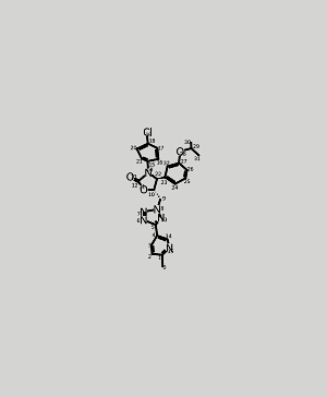 Cc1ccc(-c2nnn(C[C@@H]3OC(=O)N(c4ccc(Cl)cc4)[C@H]3c3cccc(OC(C)C)c3)n2)cn1